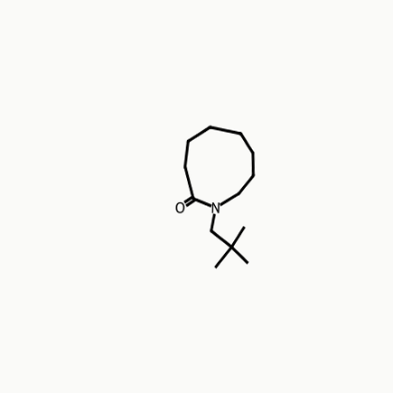 CC(C)(C)CN1CCCCCCCC1=O